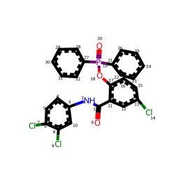 O=C(Nc1ccc(Cl)c(Cl)c1)c1cc(Cl)ccc1OP(=O)(c1ccccc1)c1ccccc1